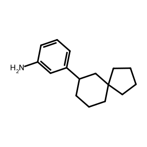 Nc1cccc(C2CCCC3(CCCC3)C2)c1